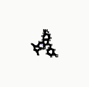 Cc1cc(C)c(/C=C2\C(=O)N(Cc3cccc(Cl)c3)c3ccc(N)cc32)[nH]1